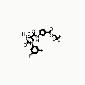 C[C@]1(C(=O)N[C@H]2CC=C(C(=O)OCC(F)(F)F)C2)CN(c2cc(F)cc(F)c2)C(=O)O1